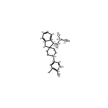 Cc1cc(N2CCC3(CC2)Cc2ccccc2[C@H]3N[S+]([O-])C(C)(C)C)cnc1Br